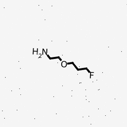 NCCOCCCF